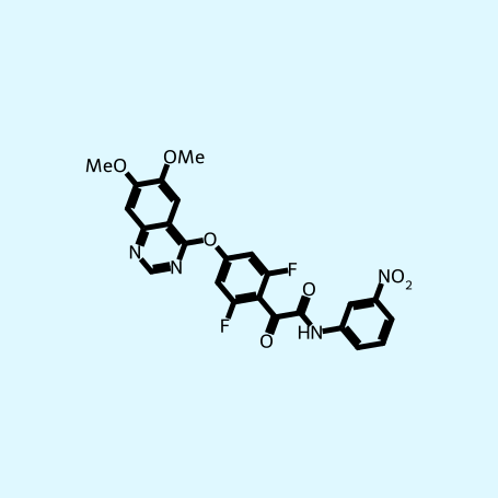 COc1cc2ncnc(Oc3cc(F)c(C(=O)C(=O)Nc4cccc([N+](=O)[O-])c4)c(F)c3)c2cc1OC